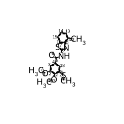 COc1cc(C(=O)Nc2nc3c(C)cccc3s2)cc(SC)c1OC